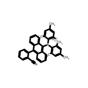 Cc1cc(C)c(B(c2c(C)cc(C)cc2C)c2c3ccccc3c(-c3ccccc3C#N)c3ccccc23)c(C)c1